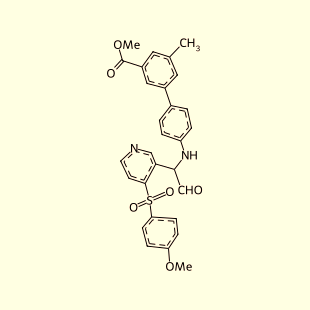 COC(=O)c1cc(C)cc(-c2ccc(NC(C=O)c3cnccc3S(=O)(=O)c3ccc(OC)cc3)cc2)c1